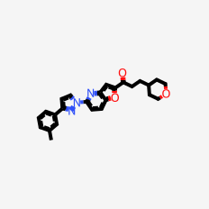 Cc1cccc(-c2ccn(-c3ccc4oc(C(=O)CCC5CCOCC5)cc4n3)n2)c1